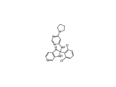 Clc1cccc(Cl)c1C1(Nc2cc(N3CCCC3)ncn2)Nc2ccncc2N1